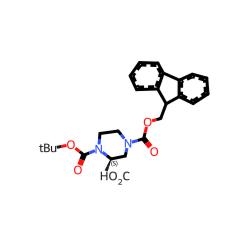 CC(C)(C)OC(=O)N1CCN(C(=O)OCC2c3ccccc3-c3ccccc32)C[C@H]1C(=O)O